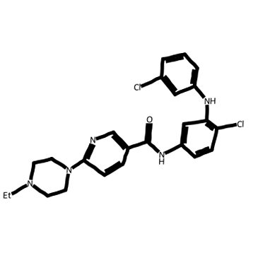 CCN1CCN(c2ccc(C(=O)Nc3ccc(Cl)c(Nc4cccc(Cl)c4)c3)cn2)CC1